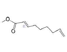 C=CCCCC/C=C/C(=O)OC